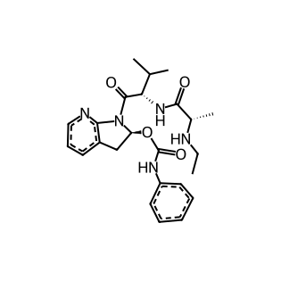 CCN[C@@H](C)C(=O)N[C@H](C(=O)N1c2ncccc2C[C@@H]1OC(=O)Nc1ccccc1)C(C)C